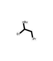 CCCCC(CC)CC(C)C